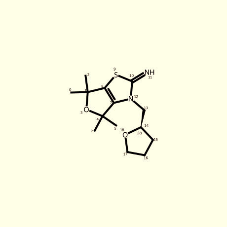 CC1(C)OC(C)(C)c2c1sc(=N)n2C[C@H]1CCCO1